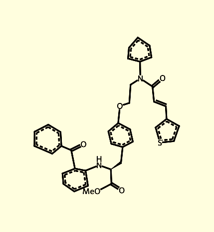 COC(=O)[C@H](Cc1ccc(OCCN(C(=O)C=Cc2ccsc2)c2ccccc2)cc1)Nc1ccccc1C(=O)c1ccccc1